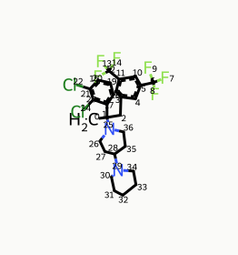 [CH2]C(Cc1cc(C(F)(F)F)cc(C(F)(F)F)c1)(c1cccc(Cl)c1Cl)N1CCC(N2CCCCC2)CC1